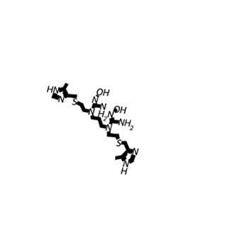 Cc1[nH]cnc1CSCCN(CCCN(CCSCc1nc[nH]c1C)C(N)=NO)C(N)=NO